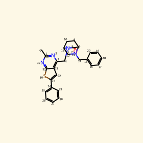 Cc1nc(CN2C(=O)C3CCC2CN3Cc2ccccc2)c2cc(-c3ccccc3)sc2n1